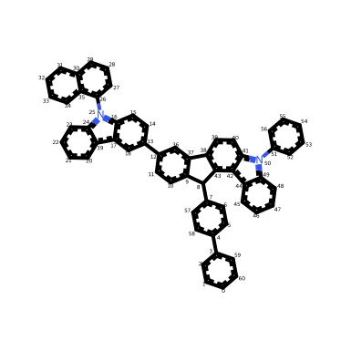 c1ccc(-c2ccc(C3c4ccc(-c5ccc6c(c5)c5ccccc5n6-c5cccc6ccccc56)cc4-c4ccc5c(c43)c3ccccc3n5-c3ccccc3)cc2)cc1